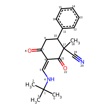 CC(C)(C)N/C=C1/C(=O)CC(c2ccccc2)C(C)(C#N)C1=O